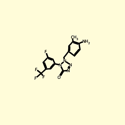 Cc1cc(Cn2nnc(=O)n2-c2cc(F)cc(C(F)(F)F)c2)ccc1N